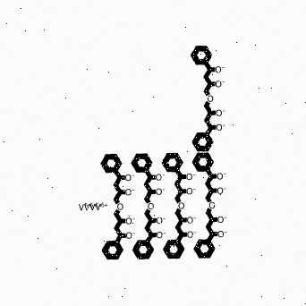 [O-]C(COCC([O-])CC([O-])c1ccccc1)CC([O-])c1ccccc1.[O-]C(COCC([O-])CC([O-])c1ccccc1)CC([O-])c1ccccc1.[O-]C(COCC([O-])CC([O-])c1ccccc1)CC([O-])c1ccccc1.[O-]C(COCC([O-])CC([O-])c1ccccc1)CC([O-])c1ccccc1.[O-]C(COCC([O-])CC([O-])c1ccccc1)CC([O-])c1ccccc1.[V+5].[V+5].[V+5].[V+5]